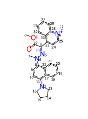 COC(=O)/C(=N\N(C)c1ccc(N2CCCC2)c2ccccc12)c1cc[n+](C)c2ccccc12